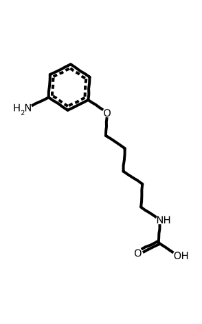 Nc1cccc(OCCCCCNC(=O)O)c1